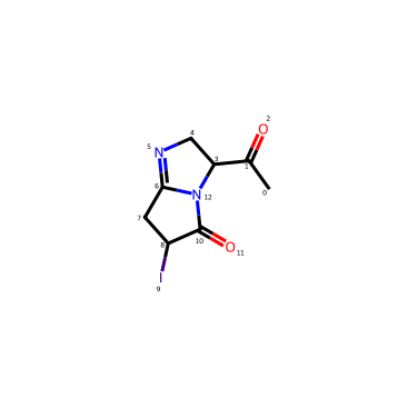 CC(=O)C1CN=C2CC(I)C(=O)N21